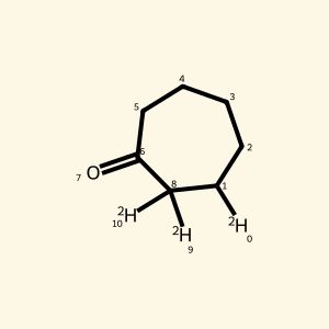 [2H]C1CCCCC(=O)C1([2H])[2H]